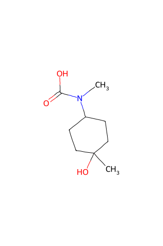 CN(C(=O)O)C1CCC(C)(O)CC1